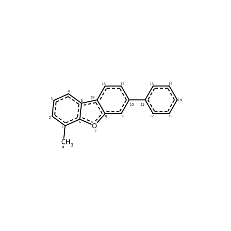 Cc1cccc2c1oc1cc(-c3ccccc3)ccc12